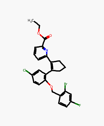 CCOC(=O)c1cccc(C2=C(c3cc(Cl)ccc3OCc3ccc(F)cc3Br)CCC2)n1